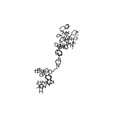 Cc1[nH]nc(Nc2ncnc3cc(OCCCN4CCN(c5ccc(C(=O)N[C@H]6C[C@@H](C(=O)N[C@@H]7CCCc8ccccc87)N(C(=O)[C@@H](NC(=O)[C@H](C)N(C)C(=O)OC(C)(C)C)C7CCCCC7)C6)cn5)CC4)c(S(=O)(=O)C(C)(C)C)cc23)c1C